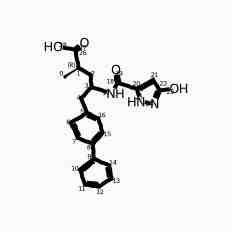 C[C@H](CC(Cc1ccc(-c2ccccc2)cc1)NC(=O)c1cc(O)n[nH]1)C(=O)O